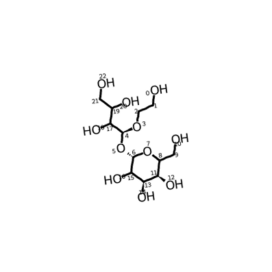 OCCO[C@@H](O[C@@H]1OC(CO)[C@@H](O)[C@@H](O)C1O)C(O)C(O)CO